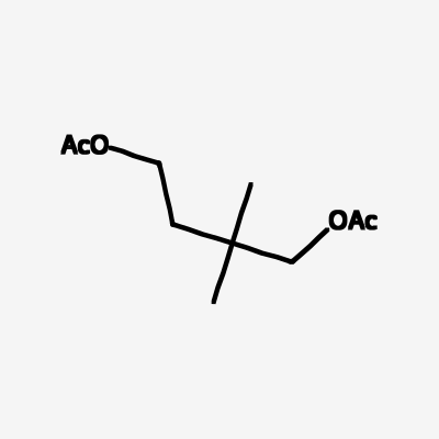 CC(=O)OCCC(C)(C)COC(C)=O